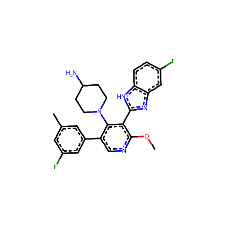 COc1ncc(-c2cc(C)cc(F)c2)c(N2CCC(N)CC2)c1-c1nc2cc(F)ccc2[nH]1